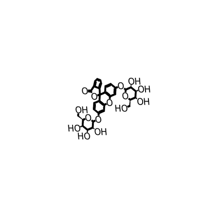 O=C1OC2(c3ccc(OC4O[C@H](CO)[C@H](O)[C@H](O)[C@H]4O)cc3Oc3cc(OC4O[C@H](CO)[C@H](O)[C@H](O)[C@H]4O)ccc32)c2ccccc21